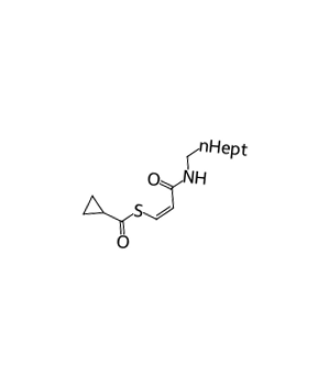 CCCCCCCCNC(=O)/C=C\SC(=O)C1CC1